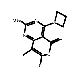 CSc1nc(N2CCC2)c2c(=O)oc(Cl)c(C)c2n1